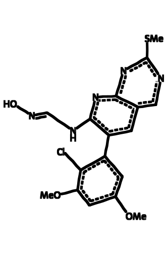 COc1cc(OC)c(Cl)c(-c2cc3cnc(SC)nc3nc2N/C=N/O)c1